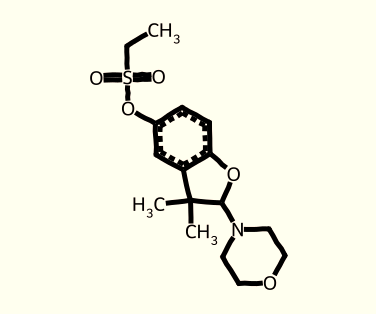 CCS(=O)(=O)Oc1ccc2c(c1)C(C)(C)C(N1CCOCC1)O2